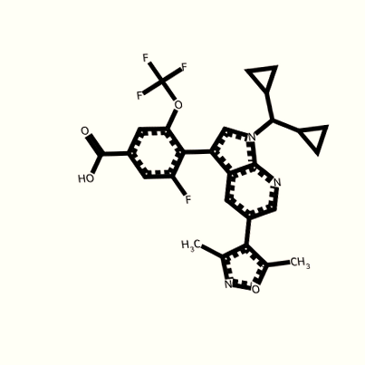 Cc1noc(C)c1-c1cnc2c(c1)c(-c1c(F)cc(C(=O)O)cc1OC(F)(F)F)cn2C(C1CC1)C1CC1